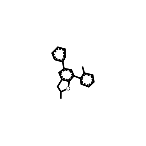 Cc1ccccc1-c1cc(-c2ccccc2)cc2c1OC(C)C2